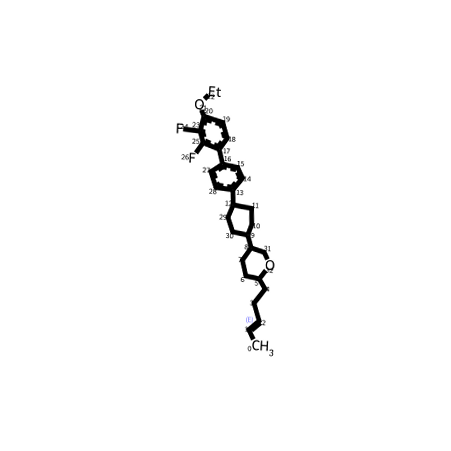 C/C=C/CCC1CCC(C2CCC(c3ccc(-c4ccc(OCC)c(F)c4F)cc3)CC2)CO1